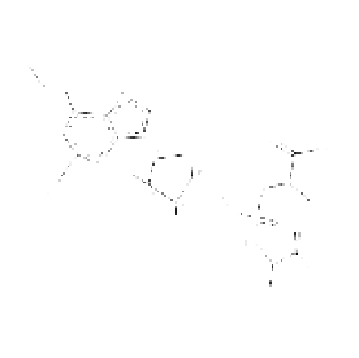 CCOc1nc(N)nc2c1ncn2[C@@H]1O[C@H](COP(=O)(NC(C)C(=O)O)NC(C)C(=O)O)[C@@H](O)[C@@]1(C)F